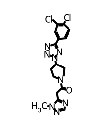 Cn1ncnc1CC(=O)N1CCC(n2nnc(-c3ccc(Cl)c(Cl)c3)n2)CC1